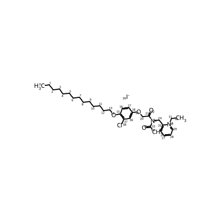 CCCCCCCCCCCCCCOc1ccc(OCC(=O)N(Cc2cccc[n+]2CC)C(C)=O)cc1Cl.[I-]